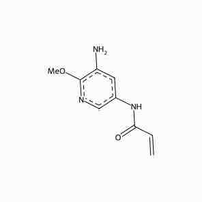 C=CC(=O)Nc1[c]nc(OC)c(N)c1